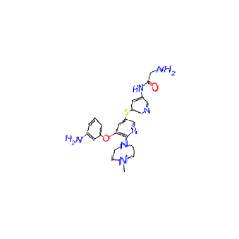 CN1CCN(c2ncc(Sc3cncc(NC(=O)CN)c3)cc2Oc2cccc(N)c2)CC1